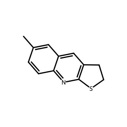 Cc1ccc2nc3c(cc2c1)CCS3